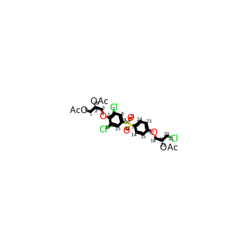 CC(=O)OC[C@@H](COc1c(Cl)cc(S(=O)(=O)c2ccc(OC[C@H](CCl)OC(C)=O)cc2)cc1Cl)OC(C)=O